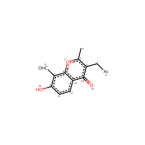 CC(=O)Cc1c(C)oc2c(C=O)c(O)ccc2c1=O